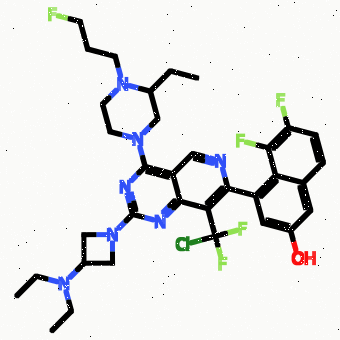 CCC1CN(c2nc(N3CC(N(CC)CC)C3)nc3c(C(F)(F)Cl)c(-c4cc(O)cc5ccc(F)c(F)c45)ncc23)CCN1CCCF